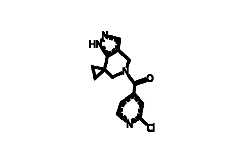 O=C(c1ccnc(Cl)c1)N1Cc2cn[nH]c2C2(CC2)C1